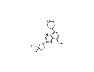 COc1ccc(C2CCOCC2)c2ncc(N3CC[C@](C)(O)C3)nc12